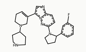 Fc1cccc(C2CCCN2c2ccc3ncc(C4=CCCN(C5CCNCC5)C4)n3n2)c1